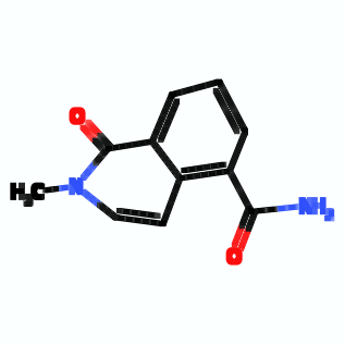 Cn1ccc2c(C(N)=O)cccc2c1=O